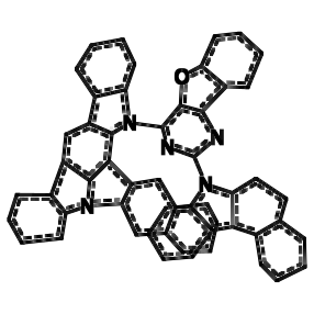 c1ccc2cc3c(cc2c1)c1c2c(cc4c5ccccc5n3c41)c1ccccc1n2-c1nc(-n2c3ccccc3c3c4ccccc4ccc32)nc2c1oc1ccccc12